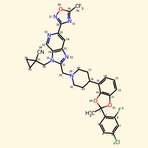 CC1(c2ccc(Cl)cc2F)Oc2cccc(C3CCN(Cc4nc5cc(-c6noc(C(F)(F)F)n6)ncc5n4CC4(C#N)CC4)CC3)c2O1